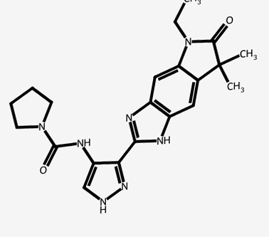 CCN1C(=O)C(C)(C)c2cc3[nH]c(-c4n[nH]cc4NC(=O)N4CCCC4)nc3cc21